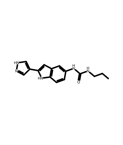 CCCNC(=O)Nc1ccc2[nH]c(-c3cn[nH]c3)cc2c1